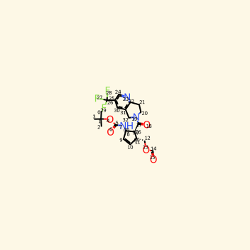 CC(C)(C)OC(=O)N[C@@H]1C=C[C@@H](COC=O)[C@@H]1C(=O)N1CCc2ncc(C(F)(F)F)cc2C1